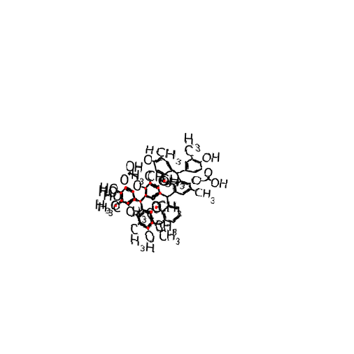 COc1c(C(C)c2cccc(C(c3cc(C)c(OCC(=O)O)c(C(c4ccc(O)c(C)c4)c4ccc(O)c(C)c4)c3OC)c3cc(C)c(OCC(=O)O)c(C(c4ccc(O)c(C)c4)c4ccc(O)c(C)c4)c3OC)c2)cc(C)c(OCC(=O)O)c1C(c1ccc(O)c(C)c1)c1ccc(O)c(C)c1